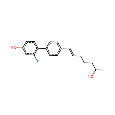 CC(O)CCCC=Cc1ccc(-c2ccc(O)cc2F)cc1